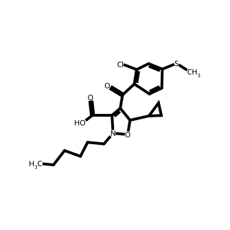 CCCCCCN1OC(C2CC2)C(C(=O)c2ccc(SC)cc2Cl)=C1C(=O)O